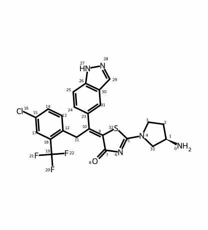 N[C@@H]1CCN(C2=NC(=O)C(=C(Cc3ccc(Cl)cc3C(F)(F)F)c3ccc4[nH]ncc4c3)S2)C1